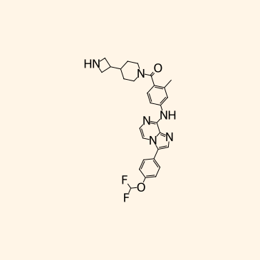 Cc1cc(Nc2nccn3c(-c4ccc(OC(F)F)cc4)cnc23)ccc1C(=O)N1CCC(C2CNC2)CC1